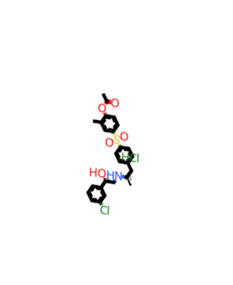 CC(=O)Oc1ccc(S(=O)(=O)c2ccc(C[C@@H](C)NC[C@@H](O)c3cccc(Cl)c3)cc2)cc1C.Cl